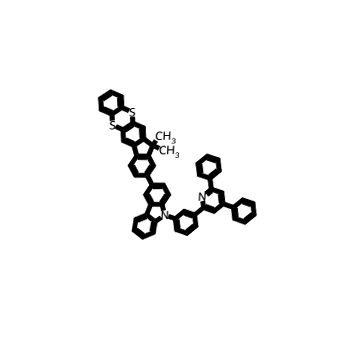 CC1(C)c2cc(-c3ccc4c(c3)c3ccccc3n4-c3cccc(-c4cc(-c5ccccc5)cc(-c5ccccc5)n4)c3)ccc2-c2cc3c(cc21)Sc1ccccc1S3